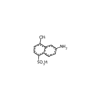 Nc1ccc2c(S(=O)(=O)O)ccc(O)c2c1